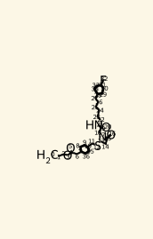 C=CCOC(=O)Cc1ccc(CSC2CC(=O)N2CC(=O)NCCCCCCc2ccc(F)cc2)cc1